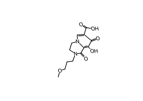 COCCCN1CCn2cc(C(=O)O)c(=O)c(O)c2C1=O